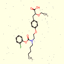 CCCCCN(CCOc1ccc(CC(OCC)C(=O)O)cc1)C(=O)Oc1ccccc1F